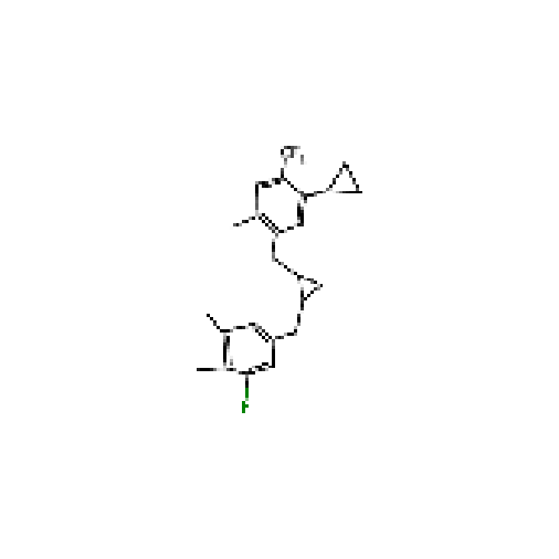 Cc1cc(C(F)(F)F)c(C2CC2)cc1CC1CC1Cc1cc(C)c(C)c(F)c1